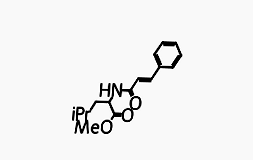 COC(=O)C(CC(C)C)NC(=O)C=Cc1ccccc1